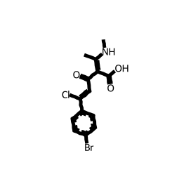 CN/C(C)=C(\C(=O)O)C(=O)C=C(Cl)c1ccc(Br)cc1